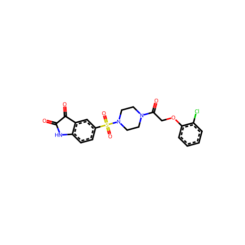 O=C1Nc2ccc(S(=O)(=O)N3CCN(C(=O)COc4ccccc4Cl)CC3)cc2C1=O